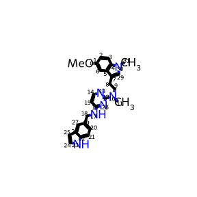 COc1ccc2c(c1)c(CCN(C)c1nccc(NCc3ccc4[nH]ccc4c3)n1)cn2C